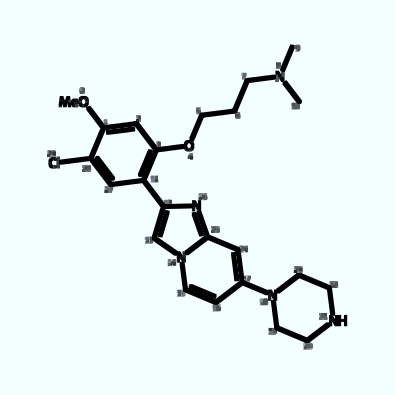 COc1cc(OCCCN(C)C)c(-c2cn3ccc(N4CCNCC4)cc3n2)cc1Cl